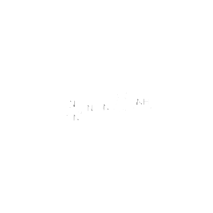 Cc1cnc(N2CCN(c3ccc(N)cc3)CC2)n1C